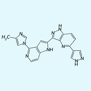 Cc1cn(-c2nccc3[nH]c(-c4n[nH]c5ccc(-c6cn[nH]c6)nc45)cc23)cn1